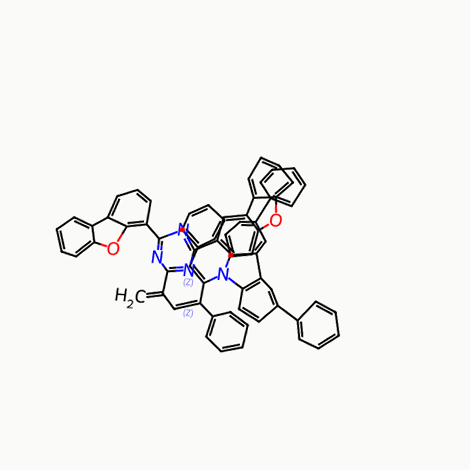 C=C(/C=C(\C(=C\c1ccccc1)n1c2ccc(-c3ccccc3)cc2c2cc(-c3ccccc3)ccc21)c1ccccc1)c1nc(-c2ccc3oc4ccccc4c3c2)nc(-c2cccc3c2oc2ccccc23)n1